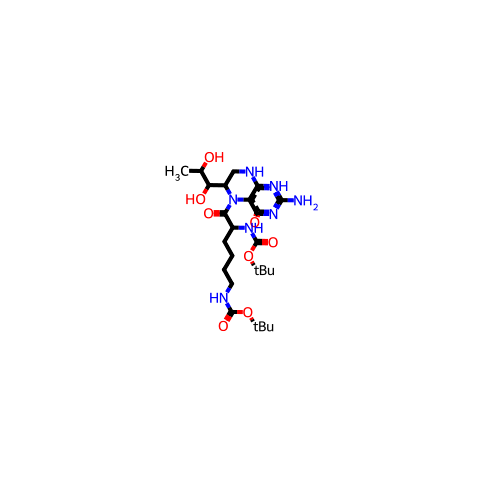 CC(O)C(O)C1CNc2[nH]c(N)nc(=O)c2N1C(=O)C(CCCCNC(=O)OC(C)(C)C)NC(=O)OC(C)(C)C